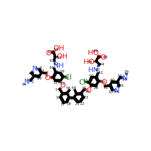 C/N=C/c1cncc(COc2cc(OCc3cccc(-c4cccc(COc5cc(OCc6cncc(/C=N/C)c6)c(CNC[C@H](O)C(=O)O)cc5Cl)c4C)c3C)c(Cl)cc2CNC[C@H](O)C(=O)O)c1